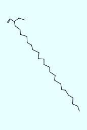 C=CC(CC)CCCCCCCCCCCCCCCCCCCCCCC